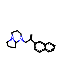 C=C(CN1CCCN2CCCC21)c1ccc2ccccc2c1